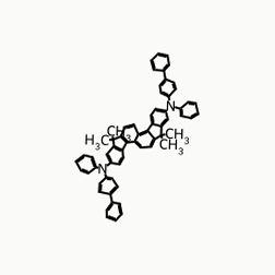 CC1(C)c2cc(N(c3ccccc3)c3ccc(-c4ccccc4)cc3)ccc2-c2c1ccc1c3c(ccc21)C(C)(C)c1cc(N(c2ccccc2)c2ccc(-c4ccccc4)cc2)ccc1-3